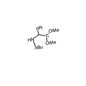 CCCCN[CH](CCC)[Ti]([O]C)[O]C